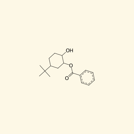 CC(C)(C)C1CCC(O)C(OC(=O)c2ccccc2)C1